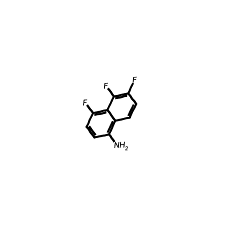 Nc1ccc(F)c2c(F)c(F)ccc12